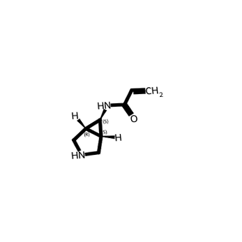 C=CC(=O)N[C@H]1[C@@H]2CNC[C@@H]21